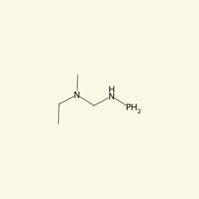 CCN(C)CNP